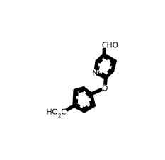 O=Cc1ccc(Oc2ccc(C(=O)O)cc2)nc1